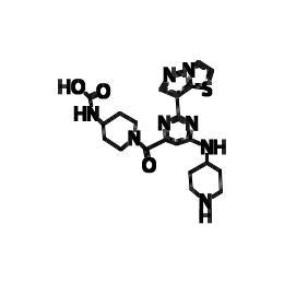 O=C(O)NC1CCN(C(=O)c2cc(NC3CCNCC3)nc(-c3cnn4ccsc34)n2)CC1